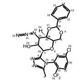 Cc1nnc([C@@H]2OC3COC(c4ccccc4)O[C@@H]3C(N=[N+]=[N-])C2O)n1-c1cc(Cl)ccc1C(F)(F)F